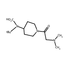 CN(C)CC(=O)N1CCC(N(C(=O)O)C(C)(C)C)CC1